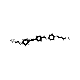 CCCCC[C@H]1CC[C@H](CCc2ccc(C#Cc3ccc(OCCC)cc3)cc2)CC1